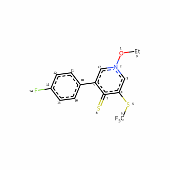 CCOn1cc(SC(F)(F)F)c(=S)c(-c2ccc(F)cc2)c1